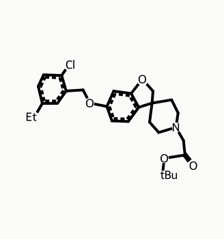 CCc1ccc(Cl)c(COc2ccc3c(c2)OCC32CCN(CC(=O)OC(C)(C)C)CC2)c1